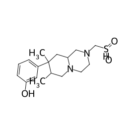 CC1CN2CCN(C[SH](=O)=O)CC2CC1(C)c1cccc(O)c1